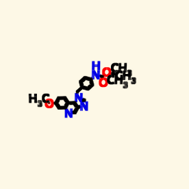 COc1ccc2c(c1)ncc1ncn(Cc3ccc(NC(=O)OC(C)(C)C)cc3)c12